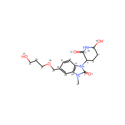 Cn1c(=O)n(C2CCC(O)NC2=O)c2ccc(COCCCO)cc21